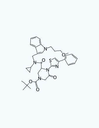 COCCCn1cc(CN(C(=O)C2CN(C(=O)OC(C)(C)C)CC(=O)N2c2nc(-c3ccccc3)cs2)C2CC2)c2ccccc21